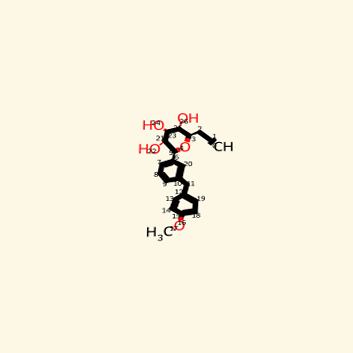 C#CC[C@H]1O[C@@H](c2cccc(Cc3ccc(OC)cc3)c2)[C@H](O)[C@@H](O)[C@@H]1O